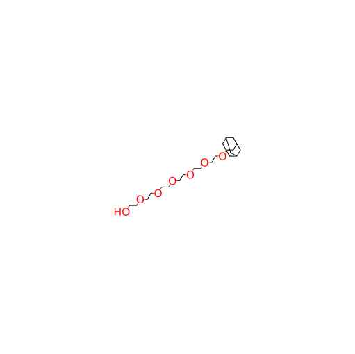 OCCOCCOCCOCCOCCOCCOC12CC3CC(CC(C3)C1)C2